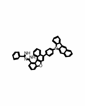 N=C(/N=C(\N)c1cccc2oc3cc(-c4ccc(-n5c6ccccc6c6cc7ccccc7cc65)cc4)c4ccccc4c3c12)c1ccccc1